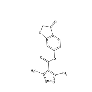 Cc1noc(C)c1C(=O)Oc1ccc2c(c1)OCC2=O